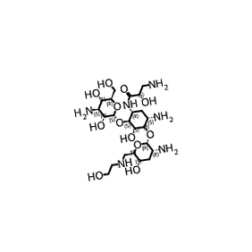 NC[C@H](O)C(=O)N[C@@H]1C[C@H](N)[C@@H](O[C@H]2O[C@H](CNCCO)[C@@H](O)C[C@H]2N)[C@H](O)[C@H]1O[C@H]1O[C@H](CO)[C@@H](O)[C@H](N)[C@H]1O